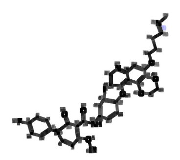 CCOc1ccn(-c2ccc(F)cc2)c(=O)c1C(=O)Nc1ccc(Oc2ccnc3cc(OCCC/C=N/C)c4c(c23)OCCO4)c(F)c1